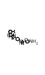 CC(C)c1cccc(O[C@H](C)c2nnc(C3CCC(n4cc([C@@H]5CC[C@@H](N)CO5)nn4)CC3)n2C)c1